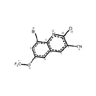 N#Cc1cc2cc(OC(F)(F)F)cc(Br)c2nc1Cl